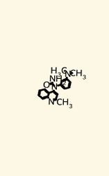 Cc1cc(N(C(N)=O)c2cccc(N(C)C)c2)c2ccccc2n1